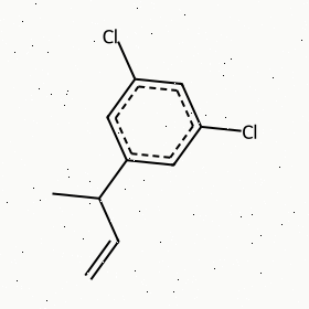 C=CC(C)c1cc(Cl)cc(Cl)c1